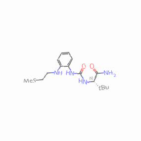 CSCCNc1ccccc1NC(=O)N[C@H](C(N)=O)C(C)(C)C